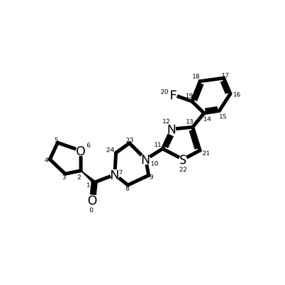 O=C([C@H]1CCCO1)N1CCN(c2nc(-c3ccccc3F)cs2)CC1